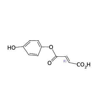 O=C(O)/C=C/C(=O)Oc1ccc(O)cc1